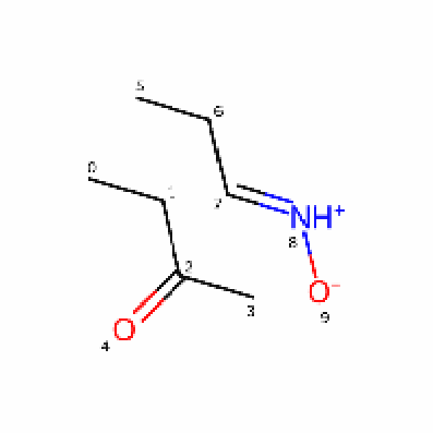 CCC(C)=O.CCC=[NH+][O-]